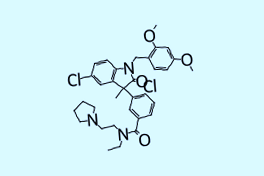 CCN(CCN1CCCC1)C(=O)c1ccc(Cl)c(C2(C)C(=O)N(Cc3ccc(OC)cc3OC)c3ccc(Cl)cc32)c1